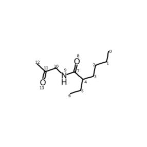 CCCCC(CC)C(=O)NCC(C)=O